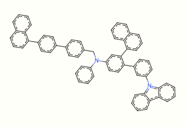 c1ccc(N(Cc2ccc(-c3ccc(-c4cccc5ccccc45)cc3)cc2)c2ccc(-c3cccc(-n4c5ccccc5c5ccccc54)c3)c(-c3cccc4ccccc34)c2)cc1